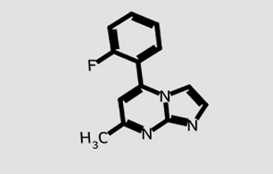 Cc1cc(-c2ccccc2F)n2ccnc2n1